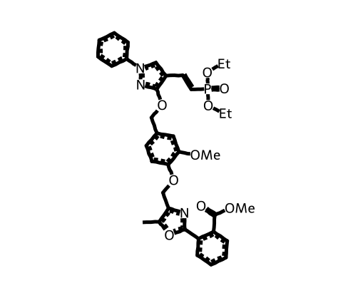 CCOP(=O)(C=Cc1cn(-c2ccccc2)nc1OCc1ccc(OCc2nc(-c3ccccc3C(=O)OC)oc2C)c(OC)c1)OCC